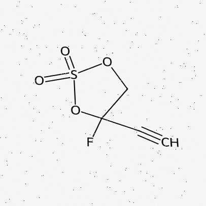 C#CC1(F)COS(=O)(=O)O1